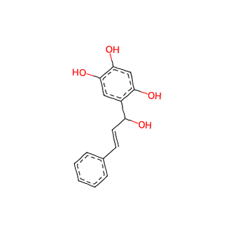 Oc1cc(O)c(C(O)C=Cc2ccccc2)cc1O